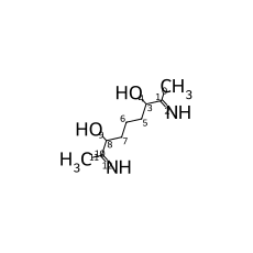 CC(=N)C(O)CCCC(O)C(C)=N